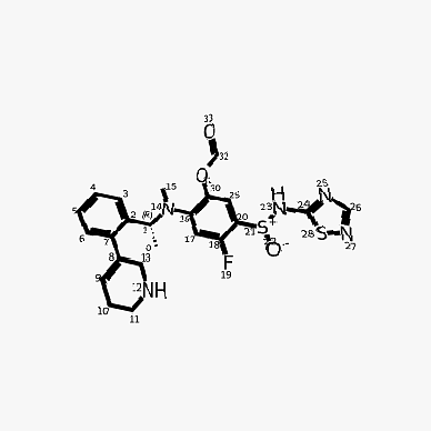 C[C@H](c1ccccc1C1=CCCNC1)N(C)c1cc(F)c([S+]([O-])Nc2ncns2)cc1OC=O